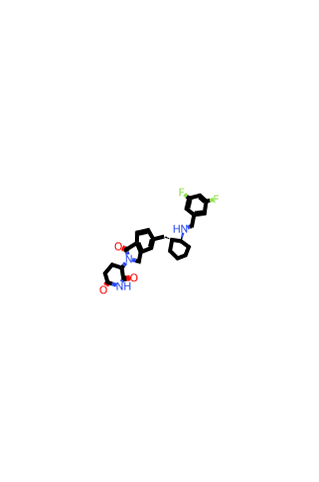 O=C1CCC(N2Cc3cc(C[C@H]4CCCC[C@@H]4NCc4cc(F)cc(F)c4)ccc3C2=O)C(=O)N1